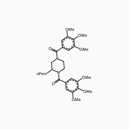 CCCCCC1CN(C(=O)c2cc(OC)c(OC)c(OC)c2)CCN1C(=O)c1cc(OC)c(OC)c(OC)c1